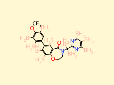 Bc1cc(-c2c(B)c(B)c3c(c2B)C(=O)N(C(B)(B)c2nc(B)c(B)c(B)n2)CCO3)c(B)c(B)c1OC(F)(F)F